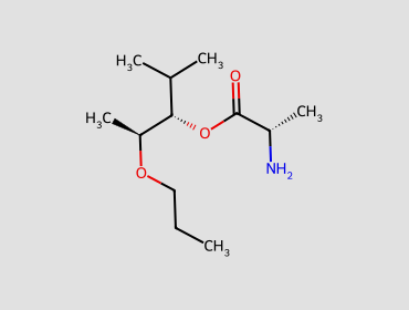 CCCO[C@@H](C)[C@@H](OC(=O)[C@H](C)N)C(C)C